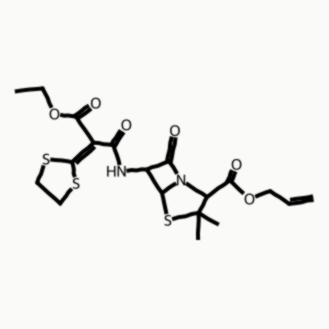 C=CCOC(=O)C1N2C(=O)C(NC(=O)C(C(=O)OCC)=C3SCCS3)C2SC1(C)C